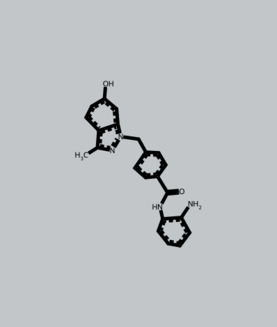 Cc1nn(Cc2ccc(C(=O)Nc3ccccc3N)cc2)c2cc(O)ccc12